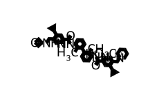 Cc1c(NC(=O)c2cc(C3CC3)c(CNC3COC3)cn2)cccc1-c1cccc(NC(=O)c2cc(C3CC3)c(CN3CCCC[C@H]3C(=O)O)cn2)c1C